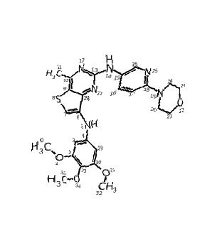 COc1cc(Nc2csc3c(C)nc(Nc4ccc(N5CCOCC5)nc4)nc23)cc(OC)c1OC